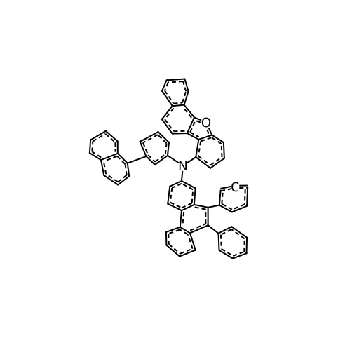 c1ccc(-c2c(-c3ccccc3)c3cc(N(c4cccc(-c5cccc6ccccc56)c4)c4cccc5oc6c7ccccc7ccc6c45)ccc3c3ccccc23)cc1